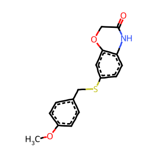 COc1ccc(CSc2ccc3c(c2)OCC(=O)N3)cc1